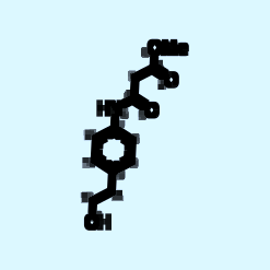 COC(=O)CC(=O)Nc1ccc(CCO)cc1